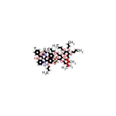 CCCCOCC1O[C@@H](O[C@@H]2C(COCCCC)O[C@@H](CS(=O)(=O)c3ccc([C@@H](Nc4ccccc4)[C@@H](CC[C@H](O)c4ccc(F)cc4)C(=O)N4C(=O)OC[C@@H]4Cc4ccccc4)c(OCCCC)c3)[C@@H](OCCCC)C2OCCCC)[C@@H](OCCCC)C(OCCCC)[C@@H]1OCCCC